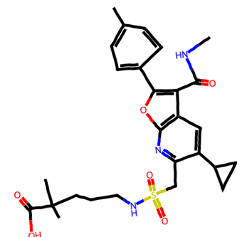 CNC(=O)c1c(-c2ccc(C)cc2)oc2nc(CS(=O)(=O)NCCCC(C)(C)C(=O)O)c(C3CC3)cc12